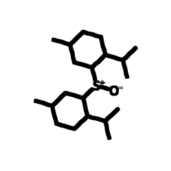 CC1CCC(C(C)C)C([S+]([O-])C2CC(C)CCC2C(C)C)C1